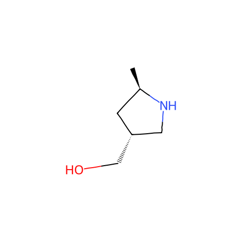 C[C@@H]1C[C@@H](CO)CN1